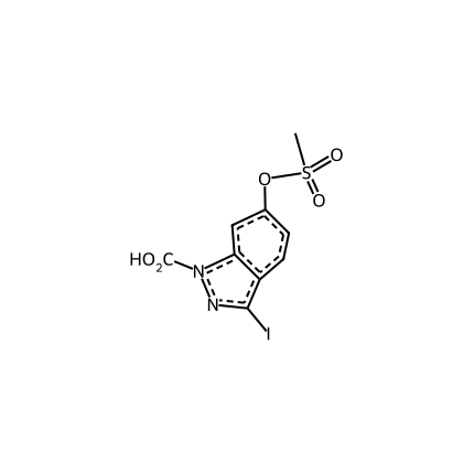 CS(=O)(=O)Oc1ccc2c(I)nn(C(=O)O)c2c1